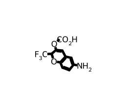 Nc1ccc2c(c1)C=C(OC(=O)O)C(C(F)(F)F)O2